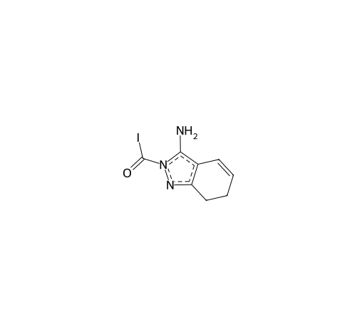 Nc1c2c(nn1C(=O)I)CCC=C2